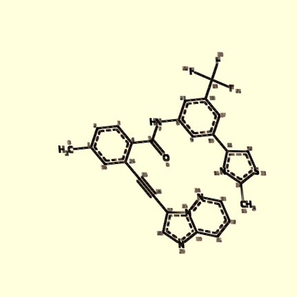 Cc1ccc(C(=O)Nc2cc(-c3csc(C)n3)cc(C(F)(F)F)c2)c(C#Cc2cnc3cccnn23)c1